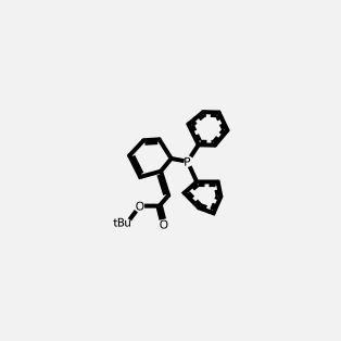 CC(C)(C)OC(=O)C=C1C=CC=CC1P(c1ccccc1)c1ccccc1